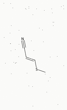 CSC=CC#N